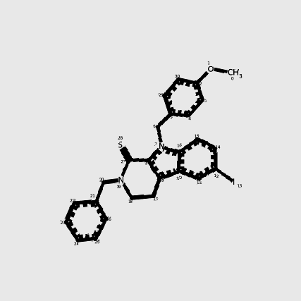 COc1ccc(Cn2c3c(c4cc(I)ccc42)CCN(Cc2ccccc2)C3=S)cc1